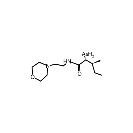 CC[C@H](C)[C@@H]([AsH2])C(=O)NCCN1CCOCC1